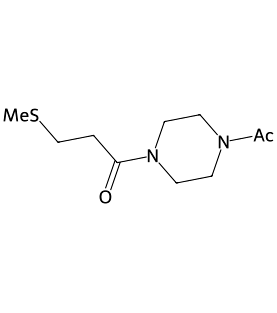 CSCCC(=O)N1CCN(C(C)=O)CC1